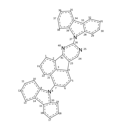 c1cc2c3c(ccc(-n4c5ccccc5c5ccccc54)c3c1)-c1cnc(-n3c4ccccc4c4ccccc43)nc1-2